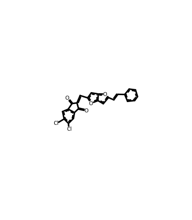 O=C1C(=Cc2cc3oc(/C=C/c4ccccc4)cc3o2)C(=O)c2cc(Cl)c(Cl)cc21